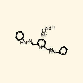 C(=NNc1ccccc1)c1cccc(C=NNc2ccccc2)n1.[Cl-].[Cl-].[Cl-].[Nd+3]